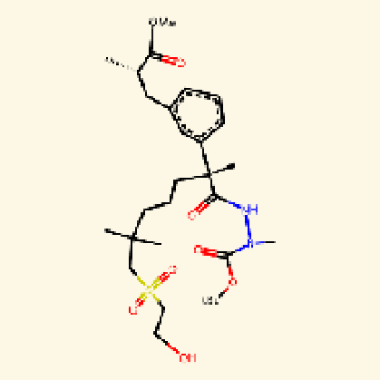 COC(=O)[C@@H](C)Cc1cccc([C@@](C)(CCCC(C)(C)CS(=O)(=O)CCO)C(=O)NN(C)C(=O)OC(C)(C)C)c1